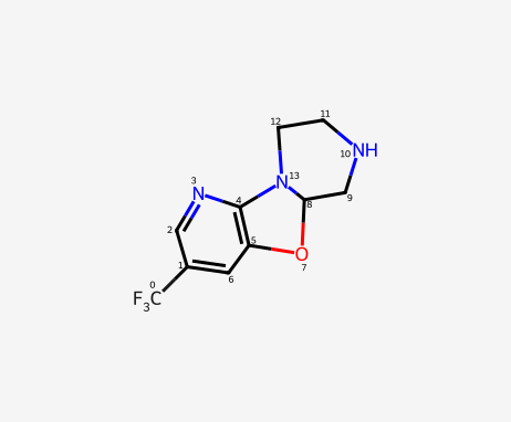 FC(F)(F)c1cnc2c(c1)OC1CNCCN21